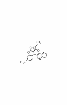 CCOC(=O)C1=C(C)Oc2cc(C)ccc2C1c1cnc2ccccc2c1